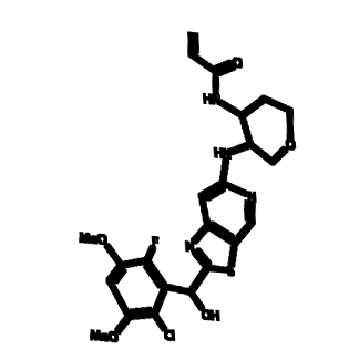 C=CC(=O)NC1CCOCC1Nc1cc2nc(C(O)c3c(F)c(OC)cc(OC)c3Cl)sc2cn1